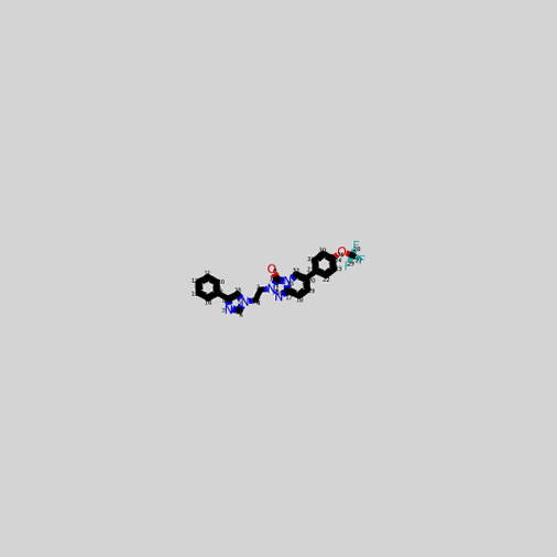 O=c1n(CCn2cnc(-c3ccccc3)c2)nc2ccc(-c3ccc(OC(F)(F)F)cc3)cn12